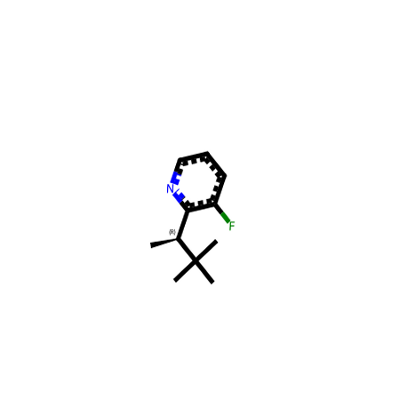 C[C@@H](c1ncccc1F)C(C)(C)C